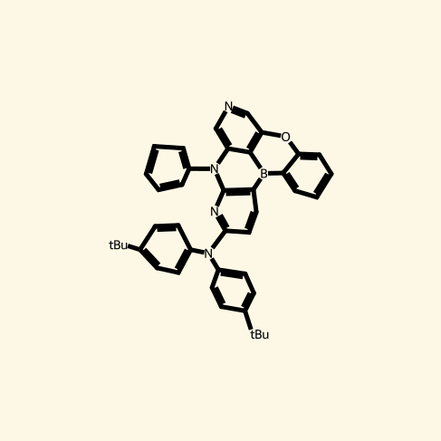 CC(C)(C)c1ccc(N(c2ccc(C(C)(C)C)cc2)c2ccc3c(n2)N(c2ccccc2)c2cncc4c2B3c2ccccc2O4)cc1